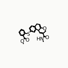 CNC(=O)C1=CC2C(=CCc3ccc(Sc4ccccc4C(=O)OC)cc32)OC1